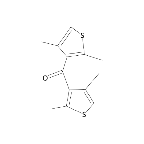 Cc1csc(C)c1C(=O)c1c(C)csc1C